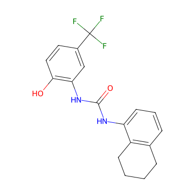 O=C(Nc1cc(C(F)(F)F)ccc1O)Nc1cccc2c1CCCC2